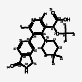 Cc1nc(C)c([C@H](OC(C)(C)C)C(=O)O)c(N2CCC(C)(C)CC2)c1-c1ccc2c(c1)CNC2=O